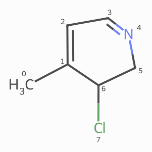 CC1=CC=NCC1Cl